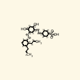 C=CCc1cccc(N=Nc2cc(N=Nc3ccc(S(=O)(=O)O)cc3)c(O)cc2O)c1CC=C